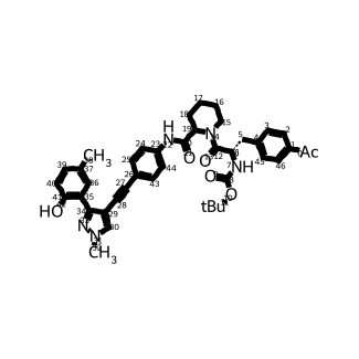 CC(=O)c1ccc(C[C@H](NC(=O)OC(C)(C)C)C(=O)N2CCCCC2C(=O)Nc2ccc(C#Cc3cn(C)nc3-c3cc(C)ccc3O)cc2)cc1